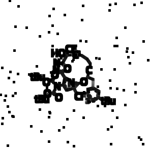 CC(C)(C)OC(=O)N(C(=O)OC(C)(C)C)c1cc(C(F)(F)F)c2nc1-c1nnc(o1)[C@@](O)(C(F)(F)F)CCCCCC(Cc1cccc(C(C)(C)C)c1)O2